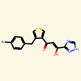 CC(=O)c1ccc(Cc2cscc2C(=O)C=C(O)c2nc[nH]n2)cc1